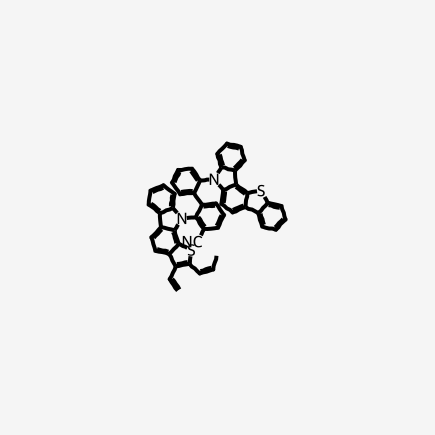 C=Cc1c(/C=C\C)sc2c1ccc1c3ccccc3n(-c3c(C#N)cccc3-c3ccccc3-n3c4ccccc4c4c5sc6ccccc6c5ccc43)c12